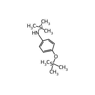 C[Si](C)(C)Nc1ccc(O[Si](C)(C)C)cc1